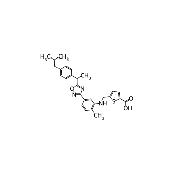 Cc1ccc(-c2noc(C(C)c3ccc(CC(C)C)cc3)n2)cc1NCc1ccc(C(=O)O)s1